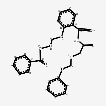 CC(COCOc1ccccc1)OC(=O)c1ccccc1OCOOC(=O)c1ccccc1